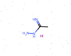 CC(=N)NN.I